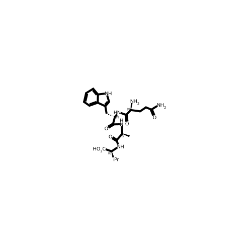 CC(C)[C@H](NC(=O)[C@H](C)NC(=O)[C@H](Cc1c[nH]c2ccccc12)NC(=O)[C@@H](N)CCC(N)=O)C(=O)O